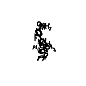 CC(C)(Nc1ncc(-c2cc(C(N)=O)ccc2F)nn1)c1cccc(OC(F)F)n1